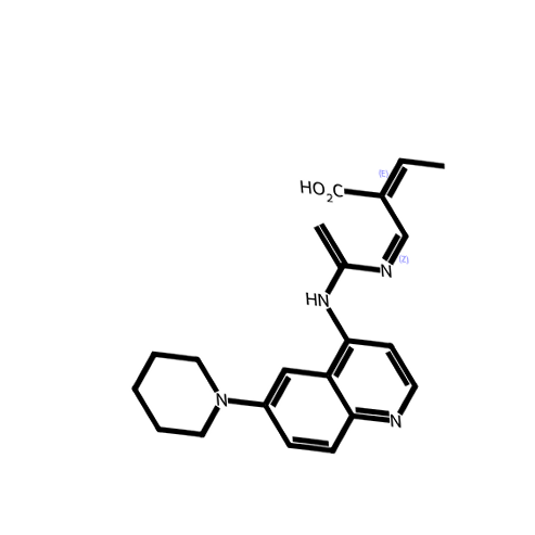 C=C(/N=C\C(=C/C)C(=O)O)Nc1ccnc2ccc(N3CCCCC3)cc12